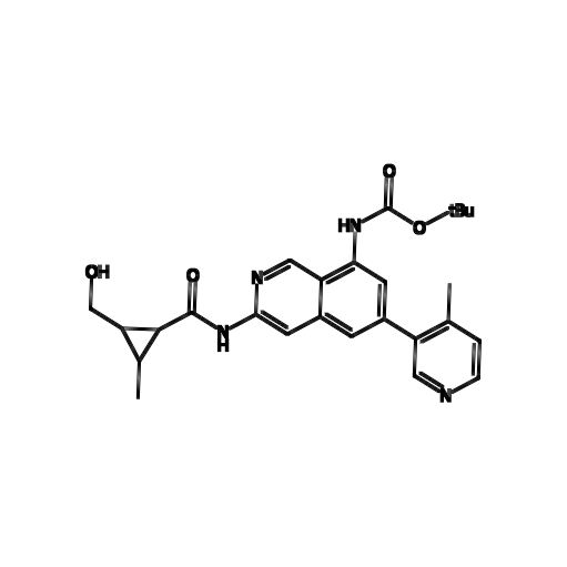 Cc1ccncc1-c1cc(NC(=O)OC(C)(C)C)c2cnc(NC(=O)C3C(C)C3CO)cc2c1